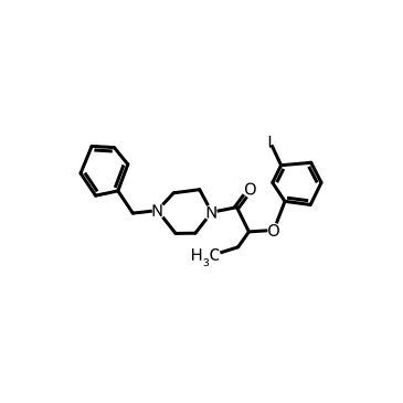 CCC(Oc1cccc(I)c1)C(=O)N1CCN(Cc2ccccc2)CC1